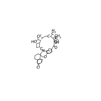 CC1CCC[C@@H]([C@@H](O)C(F)(F)F)C2CCC2CN2C[C@@]3(CCCc4cc(Cl)ccc43)COc3ccc(cc32)C(=O)NS(=O)(=O)C1C